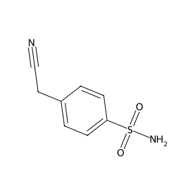 N#CCc1ccc(S(N)(=O)=O)cc1